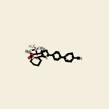 CCC(C(=O)O)([C@]1(c2ccc(-c3ccc(-c4ccc(C#N)cc4)cc3)s2)CCCCS1(=O)=O)[Si](C)(C)C